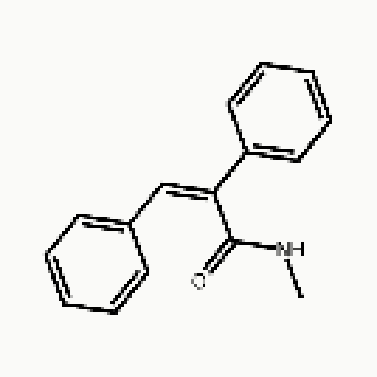 CNC(=O)C(=Cc1ccccc1)c1ccccc1